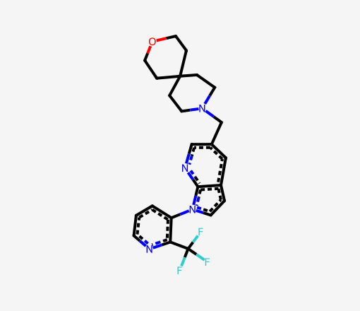 FC(F)(F)c1ncccc1-n1ccc2cc(CN3CCC4(CCOCC4)CC3)cnc21